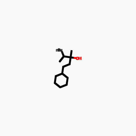 CCCCC(C)C(C)(O)CCC1CCCCC1